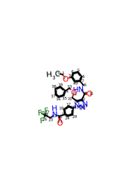 CCOc1cccc(CNC(=O)c2nnn(-c3ccc(C(=O)NCC(F)(F)F)cc3)c2COCc2ccccc2)c1